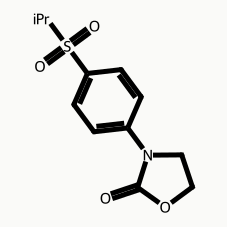 CC(C)S(=O)(=O)c1ccc(N2CCOC2=O)cc1